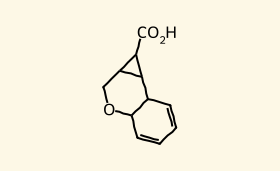 O=C(O)C1C2COC3C=CC=CC3C21